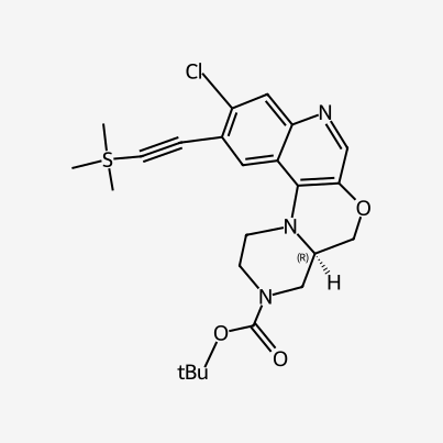 CC(C)(C)OC(=O)N1CCN2c3c(cnc4cc(Cl)c(C#CS(C)(C)C)cc34)OC[C@H]2C1